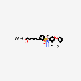 COC(=O)CCCCCCc1cccc(S(=O)(=O)Nc2c(C)cc(Oc3ccccc3)cc2C)c1